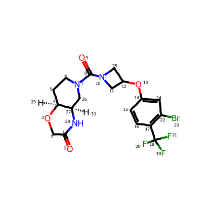 O=C1CO[C@H]2CCN(C(=O)N3CC(Oc4ccc(C(F)(F)F)c(Br)c4)C3)C[C@H]2N1